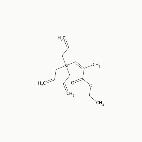 C=CC[Si](C=C(C)C(=O)OCC)(CC=C)CC=C